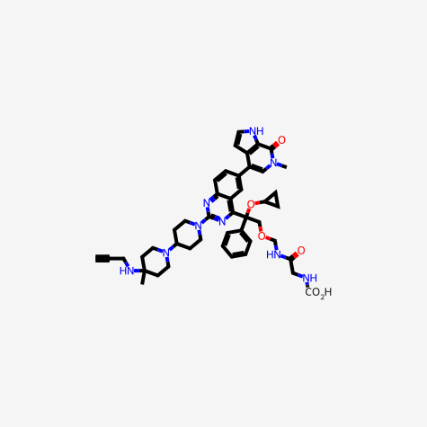 C#CCNC1(C)CCN(C2CCN(c3nc(C(COCNC(=O)CNC(=O)O)(OC4CC4)c4ccccc4)c4cc(-c5cn(C)c(=O)c6[nH]ccc56)ccc4n3)CC2)CC1